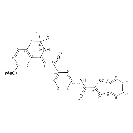 COc1ccc2c(c1)C(=CC(=O)c1cccc(NC(=O)c3cc4ccccc4s3)c1)NC(C)(C)C2